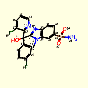 Cn1c(C(O)(c2ccc(F)cc2)c2ncccc2F)nc2ccc(S(N)(=O)=O)cc21